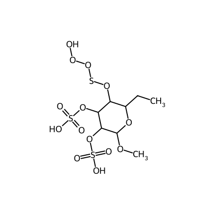 CCC1OC(OC)C(OS(=O)(=O)O)C(OS(=O)(=O)O)C1OSOOO